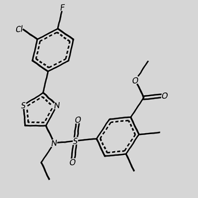 CCN(c1csc(-c2ccc(F)c(Cl)c2)n1)S(=O)(=O)c1cc(C)c(C)c(C(=O)OC)c1